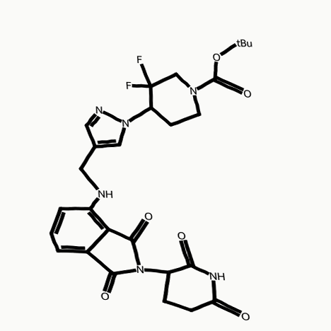 CC(C)(C)OC(=O)N1CCC(n2cc(CNc3cccc4c3C(=O)N(C3CCC(=O)NC3=O)C4=O)cn2)C(F)(F)C1